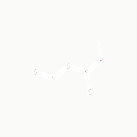 CP=S(=S)=S=S=S